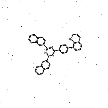 C1=Cc2cccc(-c3ccc(-c4nc(-c5ccc6ccccc6c5)nc(-c5ccc6ccccc6c5)n4)cc3)c2NC1